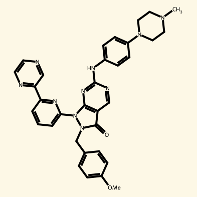 COc1ccc(Cn2c(=O)c3cnc(Nc4ccc(N5CCN(C)CC5)cc4)nc3n2-c2cccc(-c3cnccn3)n2)cc1